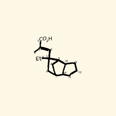 CCC1(C=C(C)C(=O)O)CC2CC1C1CCCC21